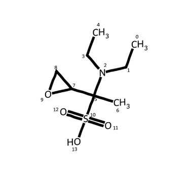 CCN(CC)C(C)(C1CO1)S(=O)(=O)O